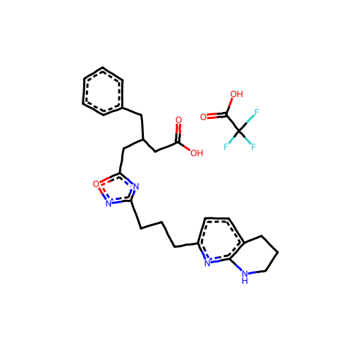 O=C(O)C(F)(F)F.O=C(O)CC(Cc1ccccc1)Cc1nc(CCCc2ccc3c(n2)NCCC3)no1